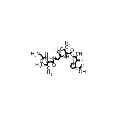 CC(C)[C@H](NC(=O)CN)C(=O)NCC(=O)N[C@H](C(=O)N[C@@H](C)C(=O)N1CCC[C@H]1C(=O)O)C(C)C